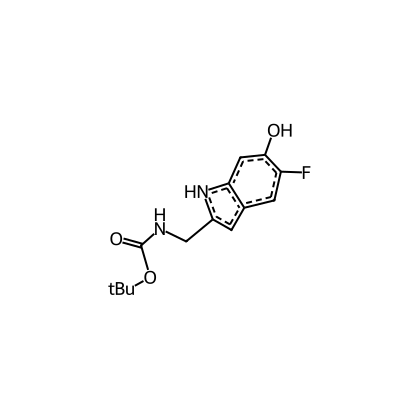 CC(C)(C)OC(=O)NCc1cc2cc(F)c(O)cc2[nH]1